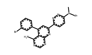 CC(C)N(C)c1ccc(-c2cc(-c3cccc(Br)c3)c3c(N)ncnc3n2)nn1